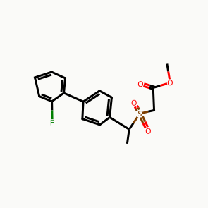 COC(=O)CS(=O)(=O)C(C)c1ccc(-c2ccccc2F)cc1